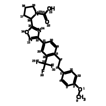 COc1ccc(CCc2ccc(-c3noc(C4CCCN4C(=O)O)n3)cc2C(F)(F)F)cc1